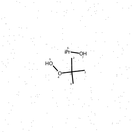 CC(C)(C)OO.CC(C)O